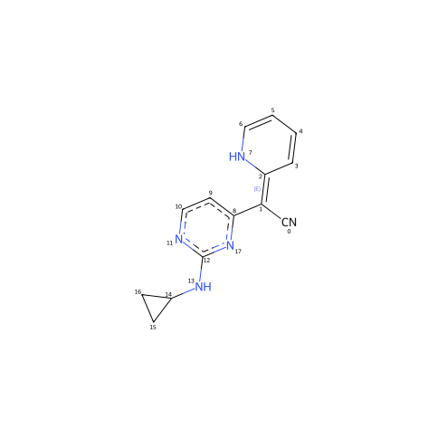 N#C/C(=C1\C=CC=CN1)c1ccnc(NC2CC2)n1